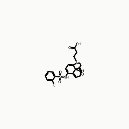 O=C(O)CCN1CCC(=O)C23NCC=C2C(NS(=O)(=O)c2ccccc2Cl)=CC=C13